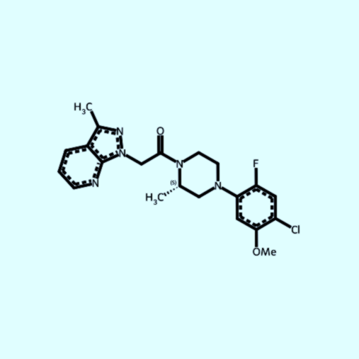 COc1cc(N2CCN(C(=O)Cn3nc(C)c4cccnc43)[C@@H](C)C2)c(F)cc1Cl